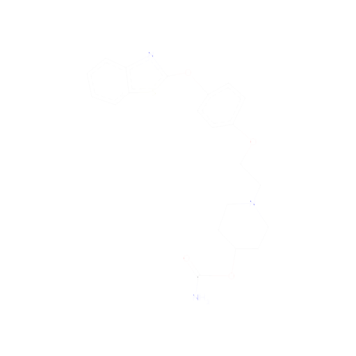 NC(=O)OC1CCN(CCOc2ccc(Oc3nc4ccccc4s3)cc2)CC1